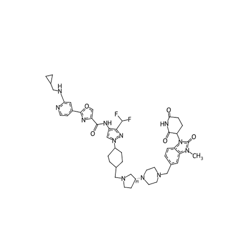 Cn1c(=O)n(C2CCC(=O)NC2=O)c2ccc(CN3CCN([C@@H]4CCN(CC5CCC(n6cc(NC(=O)c7coc(-c8ccnc(NCC9CC9)c8)n7)c(C(F)F)n6)CC5)C4)CC3)cc21